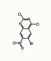 O=[N+]([O-])c1cc2nc(Cl)nc(Cl)c2cc1Br